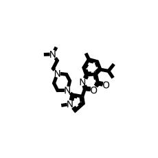 Cc1cc(C(C)C)c2c(=O)oc(-c3ccn(C)c3N3CCN(CCN(C)C)CC3)nc2c1